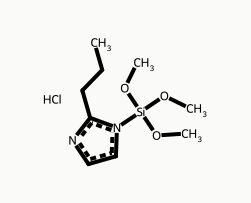 CCCc1nccn1[Si](OC)(OC)OC.Cl